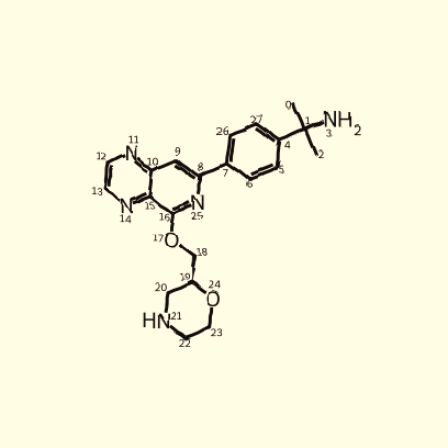 CC(C)(N)c1ccc(-c2cc3nccnc3c(OC[C@@H]3CNCCO3)n2)cc1